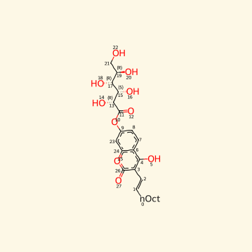 CCCCCCCCC=Cc1c(O)c2ccc(OC(=O)[C@H](O)[C@@H](O)[C@H](O)[C@H](O)CO)cc2oc1=O